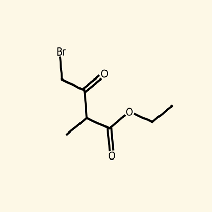 CCOC(=O)C(C)C(=O)CBr